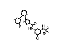 CS(=O)(=O)Nc1cc(Cl)cc(NC(=O)c2cnn(-c3ncccc3-c3cncc(F)c3)c2)c1